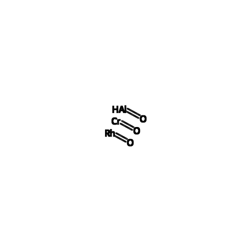 [O]=[AlH].[O]=[Cr].[O]=[Rh]